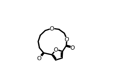 O=C1CCCCOCCOC(=O)c2ccc1o2